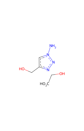 Nn1cc(CO)nn1.O=C(O)CO